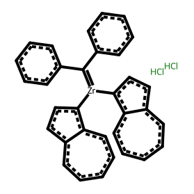 Cl.Cl.c1ccc([C](c2ccccc2)=[Zr]([c]2ccc3cccccc2-3)[c]2ccc3cccccc2-3)cc1